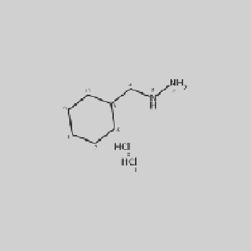 Cl.Cl.NNCC1CCCCC1